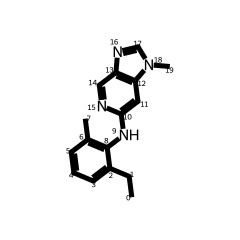 CCc1cccc(C)c1Nc1cc2c(cn1)ncn2C